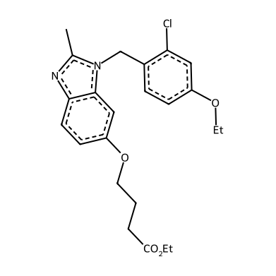 CCOC(=O)CCCOc1ccc2nc(C)n(Cc3ccc(OCC)cc3Cl)c2c1